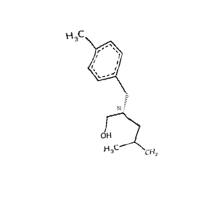 Cc1ccc(C[C@@H](CO)CC(C)C)cc1